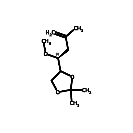 C=C(C)C[C@H](OC)C1COC(C)(C)O1